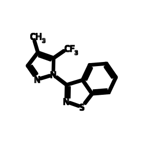 Cc1cnn(-c2nsc3ccccc23)c1C(F)(F)F